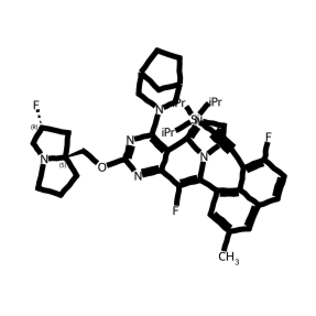 Cc1cc(-c2c(F)c3nc(OC[C@@]45CCCN4C[C@H](F)C5)nc(N4CC5CCC(C5)C4)c3c3ncnn23)c2c(C#C[Si](C(C)C)(C(C)C)C(C)C)c(F)ccc2c1